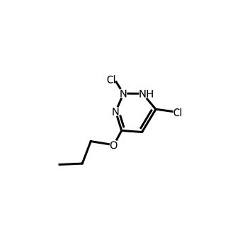 CCCOC1=NN(Cl)NC(Cl)=C1